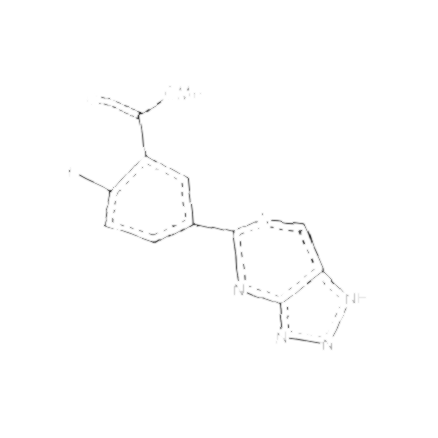 COC(=O)c1cc(-c2ncc3[nH]nnc3n2)ccc1F